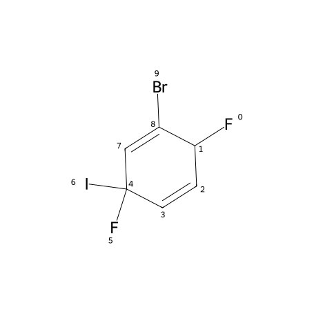 FC1C=CC(F)(I)C=C1Br